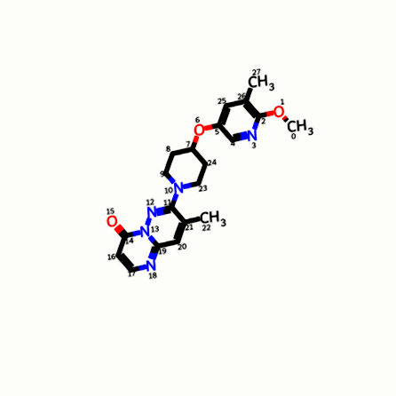 COc1ncc(OC2CCN(c3nn4c(=O)ccnc4cc3C)CC2)cc1C